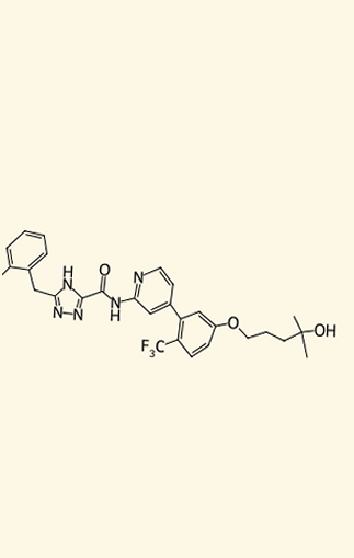 CC(C)(O)CCCOc1ccc(C(F)(F)F)c(-c2ccnc(NC(=O)c3nnc(Cc4ccccc4F)[nH]3)c2)c1